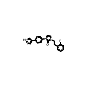 O=c1n(CCc2ccccc2F)ccn1-c1ccc(-c2cn[nH]c2)cc1